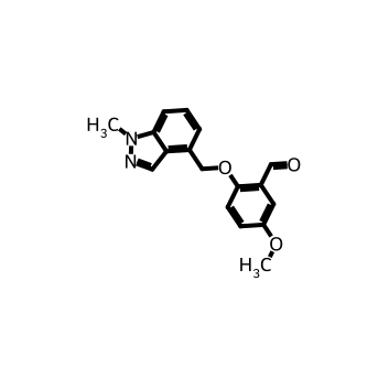 COc1ccc(OCc2cccc3c2cnn3C)c(C=O)c1